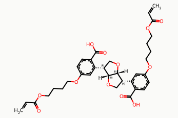 C=CC(=O)OCCCCOc1ccc(C(=O)O)c([C@@H]2CO[C@H]3[C@@H]2OC[C@H]3c2cc(OCCCCOC(=O)C=C)ccc2C(=O)O)c1